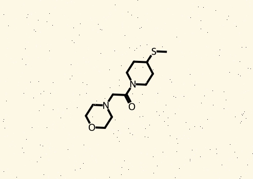 CSC1CCN(C(=O)CN2CCOCC2)CC1